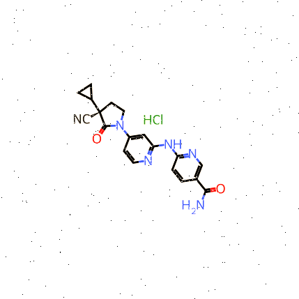 Cl.N#C[C@@]1(C2CC2)CCN(c2ccnc(Nc3ccc(C(N)=O)cn3)c2)C1=O